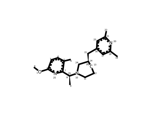 COc1ccc(C)c([C@H](C)N2CCC[C@H](Cc3cc(C)nc(C)c3)C2)n1